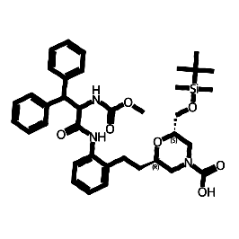 COC(=O)NC(C(=O)Nc1ccccc1CC[C@@H]1CN(C(=O)O)C[C@@H](CO[Si](C)(C)C(C)(C)C)O1)C(c1ccccc1)c1ccccc1